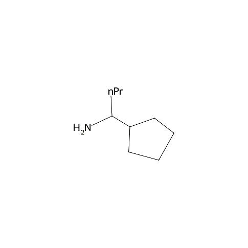 CCCC(N)C1CCCC1